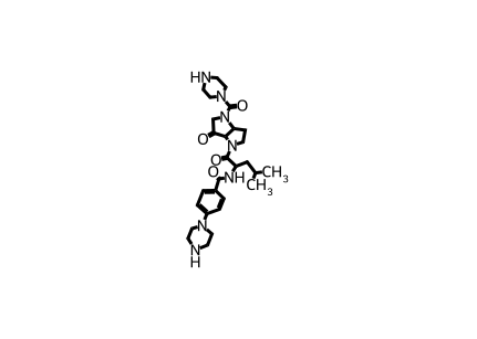 CC(C)CC(NC(=O)c1ccc(N2CCNCC2)cc1)C(=O)N1CCC2C1C(=O)CN2C(=O)N1CCNCC1